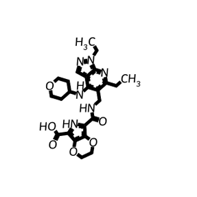 CCc1nc2c(cnn2CC)c(NC2CCOCC2)c1CNC(=O)c1[nH]c(C(=O)O)c2c1OCCO2